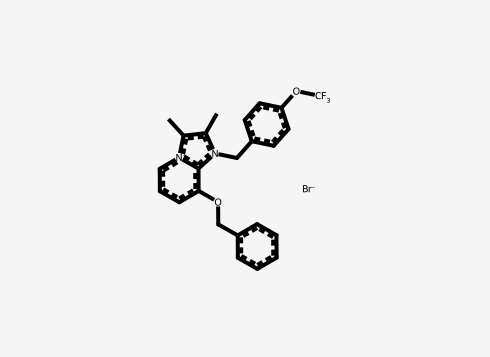 Cc1c(C)[n+]2cccc(OCc3ccccc3)c2n1Cc1ccc(OC(F)(F)F)cc1.[Br-]